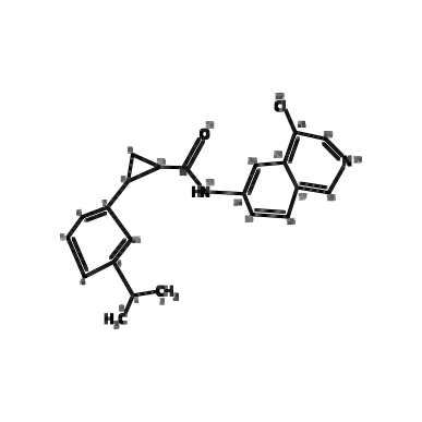 CC(C)c1cccc(C2CC2C(=O)Nc2ccc3cncc(Cl)c3c2)c1